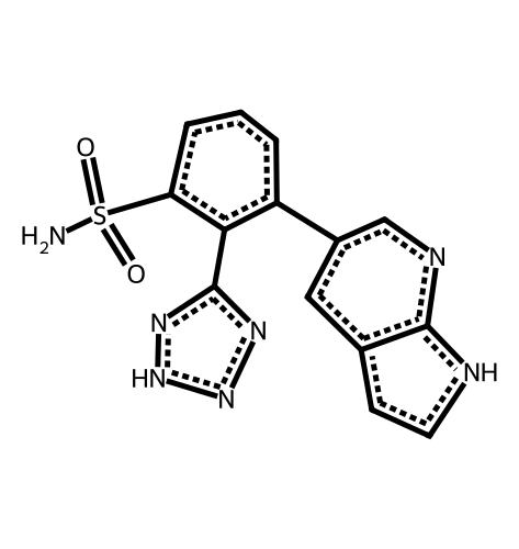 NS(=O)(=O)c1cccc(-c2cnc3[nH]ccc3c2)c1-c1nn[nH]n1